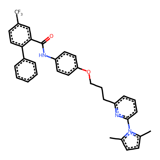 Cc1ccc(C)n1-c1cccc(CCCOc2ccc(NC(=O)c3cc(C(F)(F)F)ccc3-c3ccccc3)cc2)n1